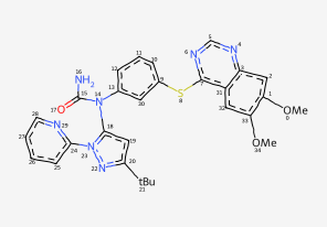 COc1cc2ncnc(Sc3cccc(N(C(N)=O)c4cc(C(C)(C)C)nn4-c4ccccn4)c3)c2cc1OC